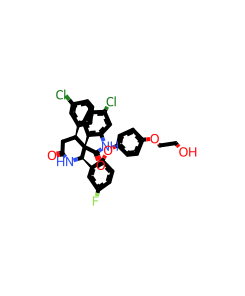 O=C1C[C@@H](c2cccc(Cl)c2)[C@]2(C(=O)Nc3cc(Cl)ccc32)[C@@H](c2cc(F)ccc2Oc2ccc(OCCO)cc2)N1